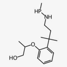 CPNCCC(C)(C)c1ccccc1OC(C)CO